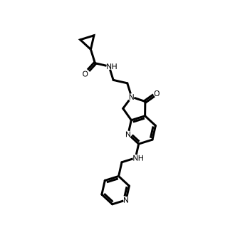 O=C(NCCN1Cc2nc(NCc3cccnc3)ccc2C1=O)C1CC1